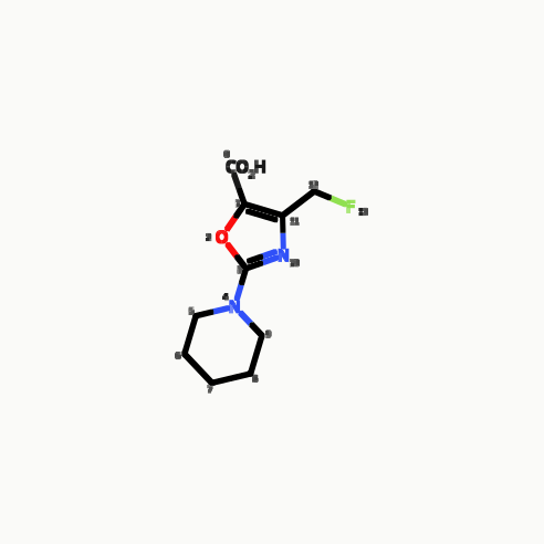 O=C(O)c1oc(N2CCCCC2)nc1CF